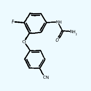 N#Cc1ccc(Oc2cc(NC(N)=O)ccc2F)cc1